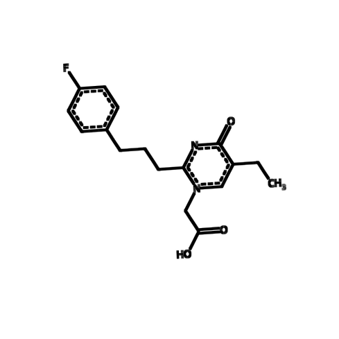 CCc1cn(CC(=O)O)c(CCCc2ccc(F)cc2)nc1=O